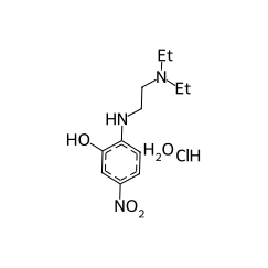 CCN(CC)CCNc1ccc([N+](=O)[O-])cc1O.Cl.O